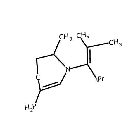 CC(C)=C(C(C)C)N1C=C(P)CCC1C